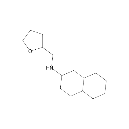 C1COC(CNC2CCC3CCCCC3C2)C1